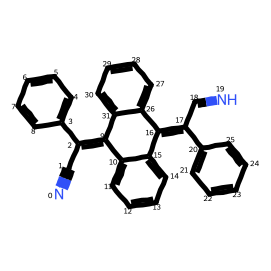 N#CC(c1ccccc1)=c1c2ccccc2c(=C(C=N)c2ccccc2)c2ccccc12